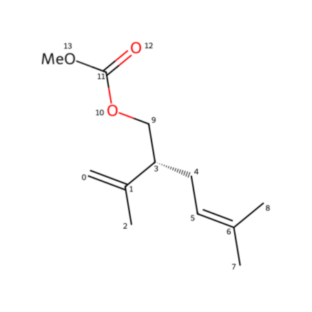 C=C(C)[C@@H](CC=C(C)C)COC(=O)OC